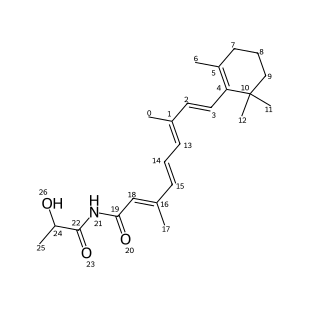 CC(C=CC1=C(C)CCCC1(C)C)=CC=CC(C)=CC(=O)NC(=O)C(C)O